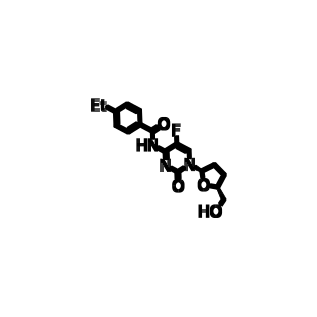 CCc1ccc(C(=O)Nc2nc(=O)n([C@H]3CC[C@@H](CO)O3)cc2F)cc1